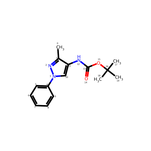 Cc1nn(-c2ccccc2)cc1NC(=O)OC(C)(C)C